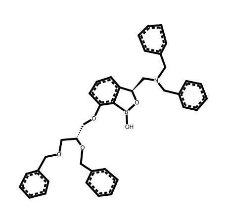 OB1O[C@H](CN(Cc2ccccc2)Cc2ccccc2)c2cccc(OC[C@@H](COCc3ccccc3)OCc3ccccc3)c21